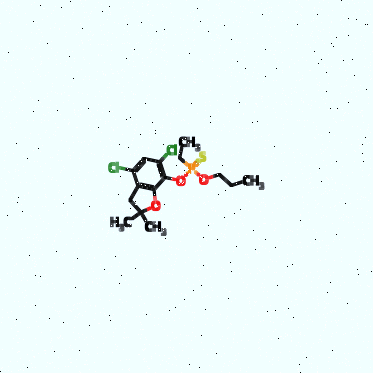 CCCOP(=S)(CC)Oc1c(Cl)cc(Cl)c2c1OC(C)(C)C2